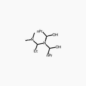 CCCC(O)N(C(O)CCC)C(CC)N(C)C